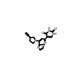 C#CC1CCN(c2cc(-c3c[nH]c(=O)[nH]c3=O)nn3ccnc23)C1